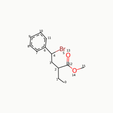 CCC(CC(Br)c1ccccc1)C(=O)OC